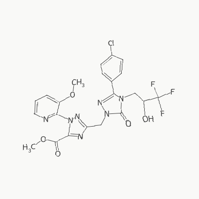 COC(=O)c1nc(Cn2nc(-c3ccc(Cl)cc3)n(CC(O)C(F)(F)F)c2=O)nn1-c1ncccc1OC